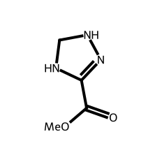 COC(=O)C1=NNCN1